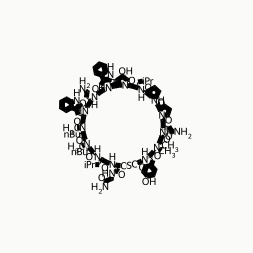 CCCC[C@H]1C(=O)N(C)[C@@H](CCCC)C(=O)N[C@@H](CC(C)C)C(=O)N[C@H](C(=O)NCC(N)=O)CSCC(=O)N[C@@H](Cc2ccc(O)cc2)C(=O)N(C)[C@@H](C)C(=O)N[C@@H](CC(N)=O)C(=O)N2CCC[C@H]2C(=O)NC2(CCCC2)C(=O)N[C@@H](CC(C)C)C(=O)N2C[C@H](O)C[C@H]2C(=O)N[C@@H](Cc2c[nH]c3ccccc23)C(=O)N[C@@H](CCN)C(=O)N[C@@H](Cc2c[nH]c3ccccc23)C(=O)N1C